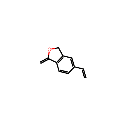 C=Cc1ccc2c(c1)COC2=C